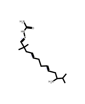 CC(C)C(N)C/C=C/CC/C=C/CC(C)(C)/C=N/NC(N)=O